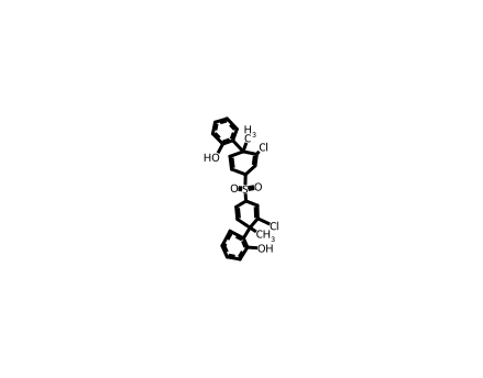 CC1(c2ccccc2O)C=CC(S(=O)(=O)C2C=CC(C)(c3ccccc3O)C(Cl)=C2)C=C1Cl